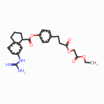 CCOC(=O)COC(=O)CCc1ccc(OC(=O)C2CCCc3ccc(NC(=N)N)cc32)cc1